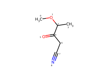 COC(C)C(=O)CC#N